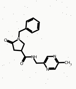 Cc1cnc(CNC(=O)C2CC(=O)N(Cc3ccccc3)C2)cn1